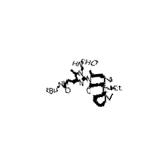 CCN(c1ccccn1)c1ncc(C)n(C2=NC(=CCC(=O)NC(C)(C)C)C(C)N2CNC=O)c1=O